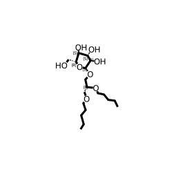 CCCCCOC[C@H](CO[C@H]1O[C@H](CO)[C@@H](O)[C@H](O)[C@H]1O)OCCCCC